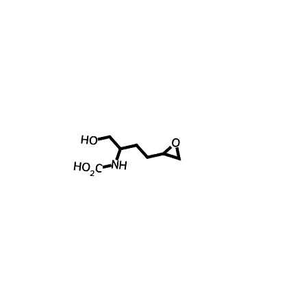 O=C(O)NC(CO)CCC1CO1